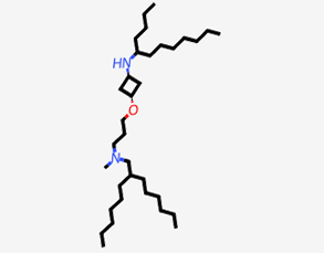 CCCCCCCC(CCCC)N[C@H]1C[C@H](OCCCN(C)CC(CCCCCC)CCCCCC)C1